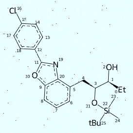 CC[C@H](O)[C@H](Cc1cccc2oc(-c3ccc(Cl)cc3)nc12)O[Si](C)(C)C(C)(C)C